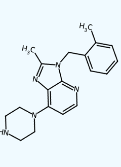 Cc1ccccc1Cn1c(C)nc2c(N3CCNCC3)ccnc21